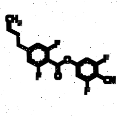 C=CCCc1cc(F)c(C(=O)Oc2cc(F)c(C#N)c(F)c2)c(F)c1